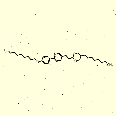 CCCCCCCCCOc1ccc(-c2ccc(CCC3OCC(CCCCCCCC)CO3)cn2)cc1